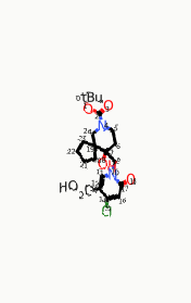 CC(C)(C)OC(=O)N1CCC(O)(Cn2cc(C(=O)O)c(Cl)cc2=O)C2(CCCC2)C1